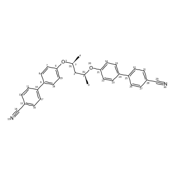 C[C@@H](C[C@H](C)Oc1ccc(-c2ccc(C#N)cc2)cc1)Oc1ccc(-c2ccc(C#N)cc2)cc1